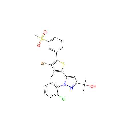 Cc1c(-c2cc(C(C)(C)O)nn2-c2ccccc2Cl)sc(-c2cccc(S(C)(=O)=O)c2)c1Br